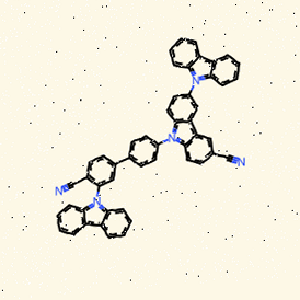 N#Cc1ccc2c(c1)c1cc(-n3c4ccccc4c4ccccc43)ccc1n2-c1ccc(-c2ccc(C#N)c(-n3c4ccccc4c4ccccc43)c2)cc1